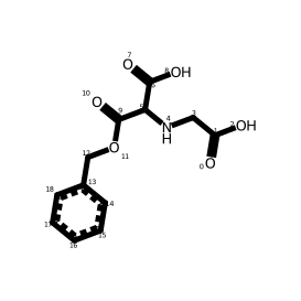 O=C(O)CNC(C(=O)O)C(=O)OCc1ccccc1